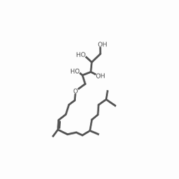 CC(=CCCCOCC(O)C(O)C(O)CO)CCCC(C)CCCC(C)C